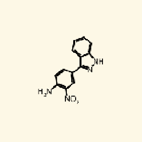 Nc1ccc(-c2n[nH]c3ccccc23)cc1[N+](=O)[O-]